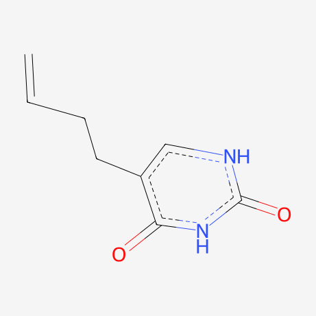 C=CCCc1c[nH]c(=O)[nH]c1=O